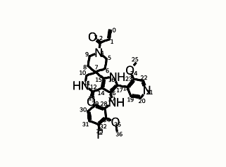 C=CC(=O)N1CCC2(CC1)CNC(=O)c1c2[nH]c(-c2ccncc2OC)c1Nc1cccc(F)c1OC